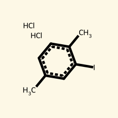 Cc1ccc(C)c(I)c1.Cl.Cl